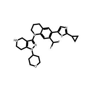 FC(F)c1cc2c(cc1-c1cnc(C3CC3)s1)CCCN2c1nn(C2CCOCC2)c2c1CNCC2